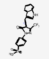 CC1=NN(c2ccc(S(=O)(=O)O)cc2)C(=O)/C1=C/c1c[nH]c2ccccc12